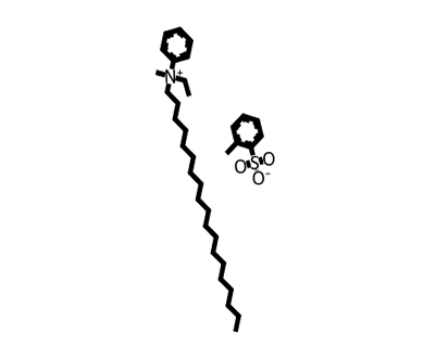 CCCCCCCCCCCCCCCCCCC[N+](C)(CC)c1ccccc1.Cc1ccccc1S(=O)(=O)[O-]